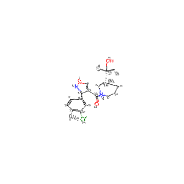 COc1ccc(-c2nocc2C(=O)N2CCC[C@@H](C(C)(C)O)C2)cc1Cl